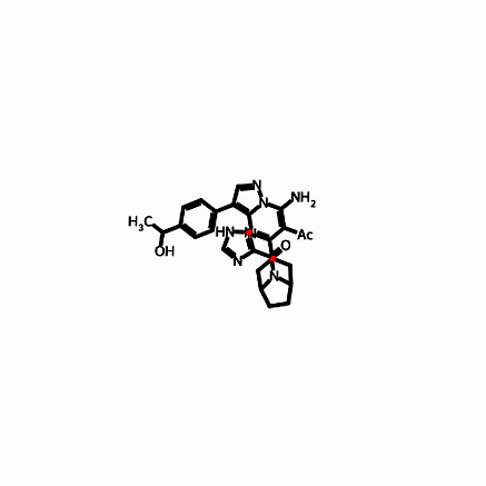 CC(=O)c1c(C2CC3CCC(C2)N3C(=O)c2nc[nH]n2)nc2c(-c3ccc(C(C)O)cc3)cnn2c1N